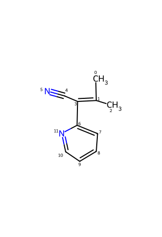 CC(C)=C(C#N)c1ccccn1